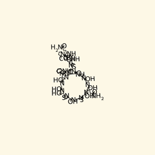 C=C1N=C(O)c2csc(n2)C(CO)N=C(O)CN=C(O)C(Cc2c[nH]c3ccccc23)N=C(O)c2ccc(-c3nc(C(=O)NC(C)C(=O)NC(CCC(N)=O)C(=O)N4CCCC4C(=O)O)cs3)nc2C2=COC(N2)C(=C)N=C(O)C(C)N=C(O)C(CCC(N)=O)N=C(O)c2csc1n2